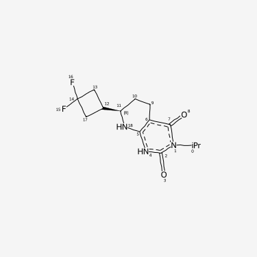 CC(C)n1c(=O)[nH]c2c(c1=O)CC[C@H](C1CC(F)(F)C1)N2